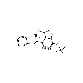 CC(C)(C)OC(=O)N1CCC(F)C1[C@@H](O)[C@@H](N)Cc1ccccc1